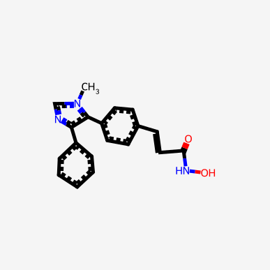 Cn1cnc(-c2ccccc2)c1-c1ccc(C=CC(=O)NO)cc1